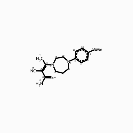 CSc1ccc(N2CCCN(C(C)=C(C#N)C(N)=S)CC2)cc1